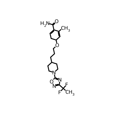 CC1=CC(OCCCC2CCN(c3nc(C(C)(F)F)no3)CC2)CC=C1C(N)=O